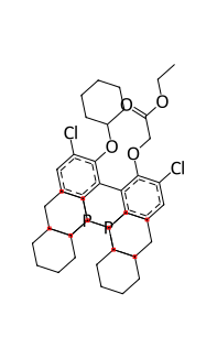 CCOC(=O)COc1c(Cl)ccc(P(C2CCCCC2)C2CCCCC2)c1-c1c(P(C2CCCCC2)C2CCCCC2)ccc(Cl)c1OC1CCCCC1